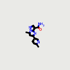 Cc1ccc(-c2cc(C)n3ncc(C(N)=O)c3n2)cn1